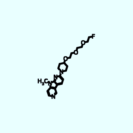 Cn1c2ccncc2c2ccc(N3CCC(OCCOCCOCCF)CC3)nc21